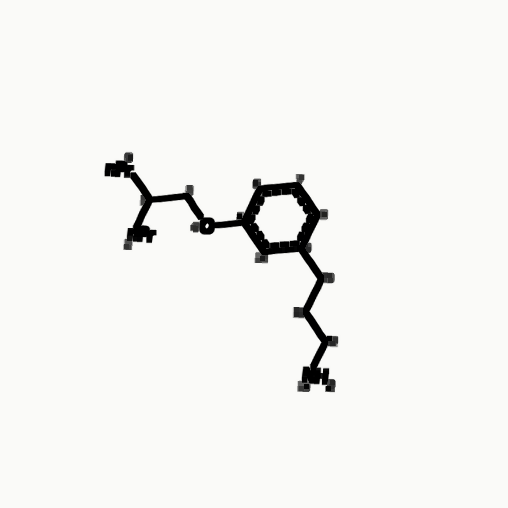 CCCC(CCC)COc1cccc(CCCN)c1